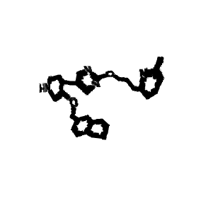 Cc1cccc(CCCOc2ncc(C3CCNCC3OCc3ccc4ccccc4c3)cn2)n1